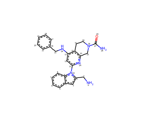 NCc1cc2ccccc2n1-c1cc(NCc2ccccc2)c2c(n1)CN(C(N)=O)CC2